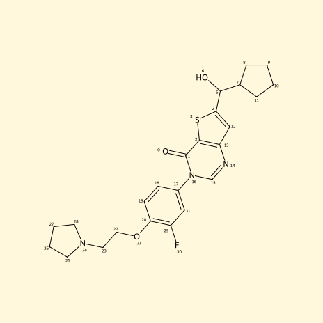 O=c1c2sc(C(O)C3CCCC3)cc2ncn1-c1ccc(OCCN2CCCC2)c(F)c1